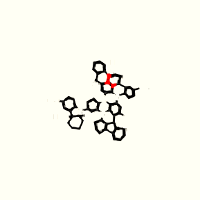 Cc1cc2c3c4c1C1(C)c5ccccc5-c5cccc(c51)N4c1cc(N4c5ccc(C(C)(C)C)cc5C5(C)CCCCC45C)ccc1B3c1cc3c(cc1N2c1ccc(C(C)(C)C)cc1-c1ccccc1)C(C)(C)c1ccccc1C3(C)C